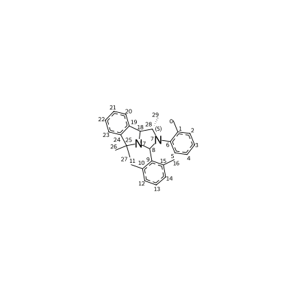 Cc1ccccc1N1C(c2c(C)cccc2C)N2C(c3ccccc3C2(C)C)[C@@H]1C